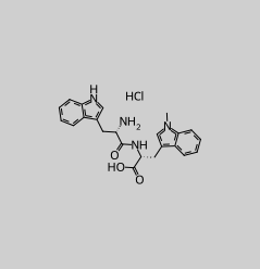 Cl.Cn1cc(C[C@@H](NC(=O)[C@@H](N)Cc2c[nH]c3ccccc23)C(=O)O)c2ccccc21